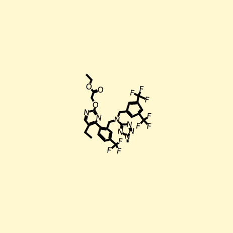 CCOC(=O)COc1ncc(CC)c(-c2ccc(C(F)(F)F)cc2CN(Cc2cc(C(F)(F)F)cc(C(F)(F)F)c2)c2nnn(C)n2)n1